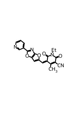 CCN1C(=O)C(C#N)=C(C)/C(=C/c2cc3oc(-c4cccnc4)nc3o2)C1=O